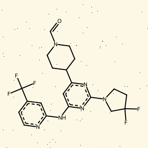 O=CN1CCC(c2cc(Nc3cc(C(F)(F)F)ccn3)nc(N3CCC(F)(F)C3)n2)CC1